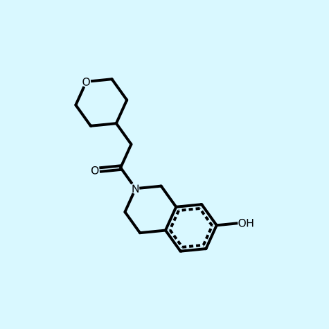 O=C(CC1CCOCC1)N1CCc2ccc(O)cc2C1